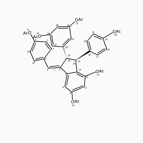 CC(=O)Oc1ccc(/C=C2/c3cc(OC(C)=O)cc(OC(C)=O)c3[C@H](c3ccc(OC(C)=O)cc3)[C@H]2c2cc(OC(C)=O)cc(OC(C)=O)c2)cc1